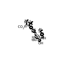 Cc1ncsc1-c1ccc([C@H](C)NC(=O)[C@@H]2C[C@@H](O)CN2C(=O)[C@@H](NC(=O)COc2cnc(-c3ccc(C4=N[C@@H](CC(=O)O)c5nnc(C)n5-c5sc(C)c(C)c54)cc3)nc2)C(C)(C)C)cc1